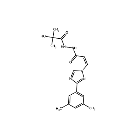 Cc1cc(C)cc(-c2ncn(/C=C\C(=O)NNC(=O)C(C)(C)O)n2)c1